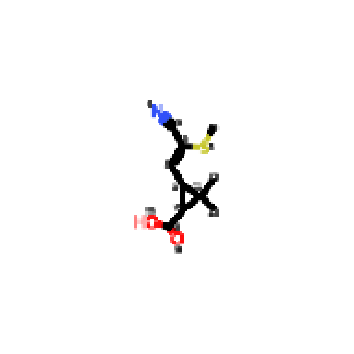 CSC(C#N)=CC1C(C(=O)O)C1(C)C